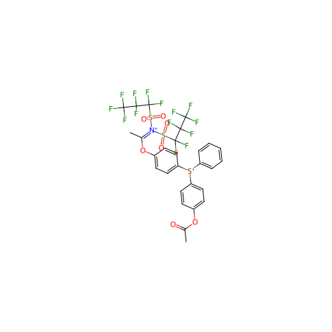 CC(=O)Oc1ccc([S+](c2ccccc2)c2ccc(OC(C)=[N+](S(=O)(=O)C(F)(F)C(F)(F)C(F)(F)F)S(=O)(=O)C(F)(F)C(F)(F)C(F)(F)F)cc2)cc1